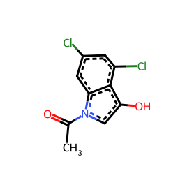 CC(=O)n1cc(O)c2c(Cl)cc(Cl)cc21